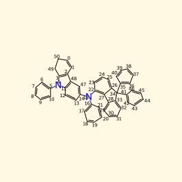 C1=Cc2c(n(-c3ccccc3)c3ccc(N(c4ccccc4)c4cccc5c4-c4ccccc4C5(c4ccccc4)c4ccccc4)cc23)CC1